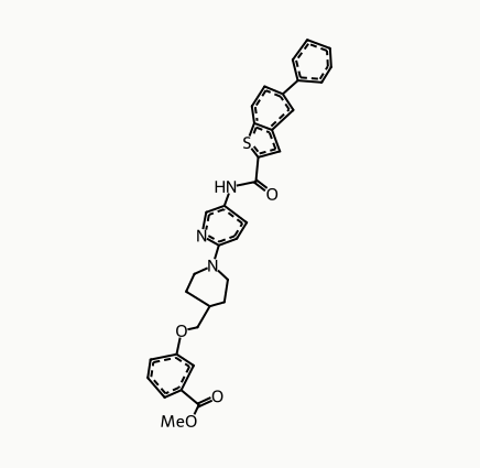 COC(=O)c1cccc(OCC2CCN(c3ccc(NC(=O)c4cc5cc(-c6ccccc6)ccc5s4)cn3)CC2)c1